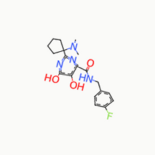 CN(C)C1(c2nc(O)c(O)c(C(=O)NCc3ccc(F)cc3)n2)CCCC1